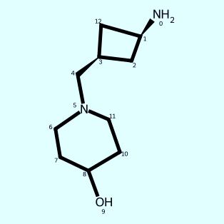 N[C@H]1C[C@@H](CN2CCC(O)CC2)C1